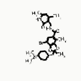 Cc1cc(C)c(CNC(=O)c2cc(Br)c3c(c2C)OC(C)(C[C@H]2CC[C@H](N(C)C)CC2)O3)c(=O)[nH]1